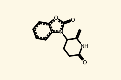 C=C1NC(=O)CCC1n1c(=O)oc2ccccc21